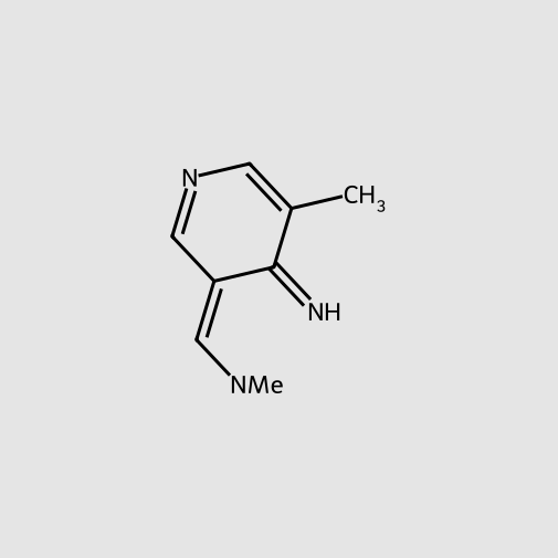 CN/C=C1/C=NC=C(C)C1=N